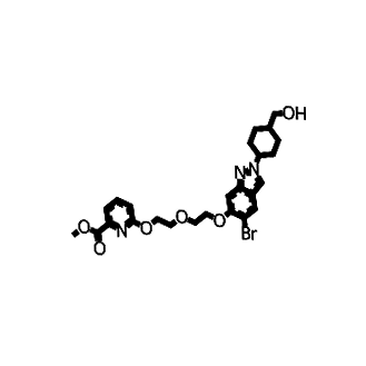 COC(=O)c1cccc(OCCOCCOc2cc3nn(C4CCC(CO)CC4)cc3cc2Br)n1